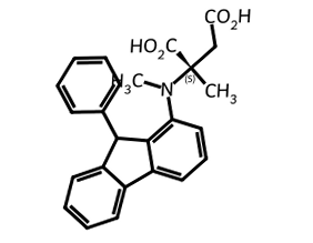 CN(c1cccc2c1C(c1ccccc1)c1ccccc1-2)[C@@](C)(CC(=O)O)C(=O)O